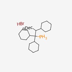 Br.CCCCCCCCCCC(C1CCCCC1)C(P)(C1CCCCC1)C1CCCCC1